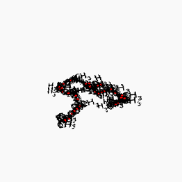 CCN(C)CC(=O)OCCOCCOC(=O)CN(CC)CCCCCCN(CC)CC(O)COCCC[Si](C)(C)O[Si](C)(C)CCCOCC(O)CN(CC)CCCCCCN(CC)CC(=O)OCC(COC(=O)CNC)OC(=O)CN(C)CCCCCCCN(CC)C(O)COCCC[Si](C)(C)O[Si](C)(C)CCCOCC(O)CN(C)CC